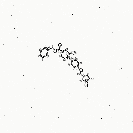 O=C(OCc1ccccc1)N1CCN(c2ccc(OCC3CCNC3)cc2)C(=O)C1